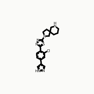 Clc1cc(-c2cn[nH]c2)ccc1-c1nnc(N2CCC3(CCCNC3)C2)s1